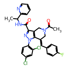 CC(=O)N1C/C(=C\c2ccc(F)cc2)c2c(c(C(=O)NC(C)c3ccccn3)nn2-c2ccc(Cl)cc2Cl)C1